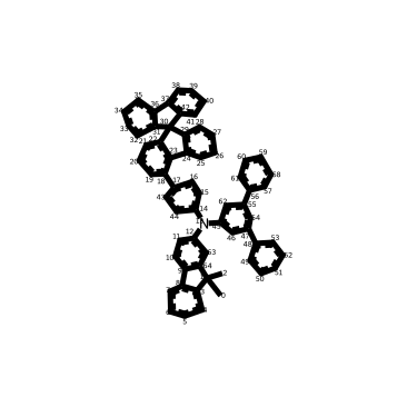 CC1(C)c2ccccc2-c2ccc(N(c3ccc(-c4cccc5c4-c4ccccc4C54c5ccccc5-c5ccccc54)cc3)c3cc(-c4ccccc4)cc(-c4ccccc4)c3)cc21